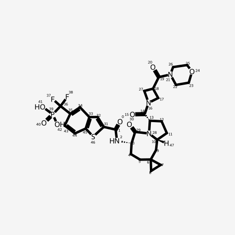 O=C(N[C@H]1CCC2(CC2)C[C@H]2CC[C@@H](C(=O)N3CC(C(=O)N4CCOCC4)C3)N2C1=O)c1cc2cc(C(F)(F)P(=O)(O)O)ccc2s1